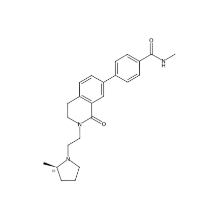 CNC(=O)c1ccc(-c2ccc3c(c2)C(=O)N(CCN2CCC[C@H]2C)CC3)cc1